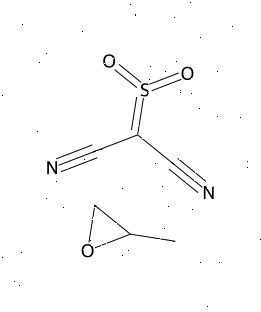 CC1CO1.N#CC(C#N)=S(=O)=O